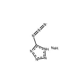 [N-]=[N+]=Nc1nnn[nH]1.[NaH]